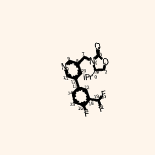 CC(C)[C@H]1COC(=O)N1Cc1cncc(-c2ccc(F)c(C(F)F)c2)c1